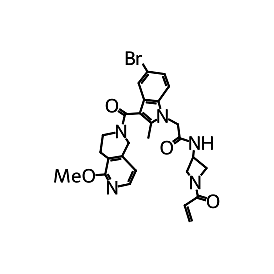 C=CC(=O)N1CC(NC(=O)Cn2c(C)c(C(=O)N3CCc4c(ccnc4OC)C3)c3cc(Br)ccc32)C1